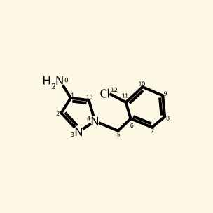 Nc1cnn(Cc2ccccc2Cl)c1